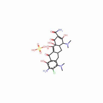 CN(C)c1c(Cl)c(N)c(O)c2c1CC1CC3C(N(C)C)C(O)=C(C(N)=O)C(=O)C3(O)C(O)=C1C2=O.O=S(=O)(O)O